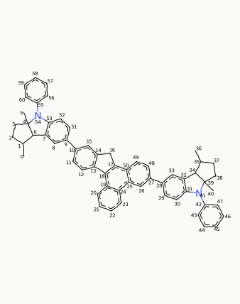 CC1CCC2(C)C1c1cc(-c3ccc4c(c3)Cc3c-4c4ccccc4c4cc(-c5ccc6c(c5)C5C(C)CCC5(C)N6c5ccccc5)ccc34)ccc1N2c1ccccc1